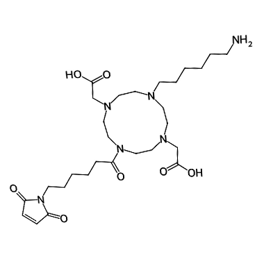 NCCCCCCN1CCN(CC(=O)O)CCN(C(=O)CCCCCN2C(=O)C=CC2=O)CCN(CC(=O)O)CC1